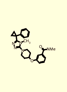 CNC(=O)c1cccc(OC2CCN(c3nnc(C4(c5ccccc5)CC4)n3C)CC2)c1